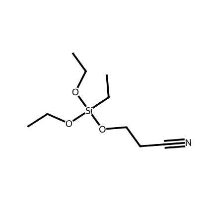 CCO[Si](CC)(OCC)OCCC#N